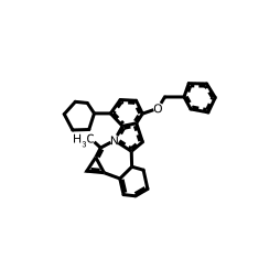 CC1=C2C=C2C2=CC=CCC2c2cc3c(OCc4ccccc4)ccc(C4CCCCC4)c3n21